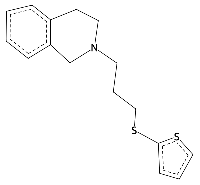 c1csc(SCCCN2CCc3ccccc3C2)c1